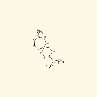 CC(C)N1CCC2(CCCN(C)CC2)CC1